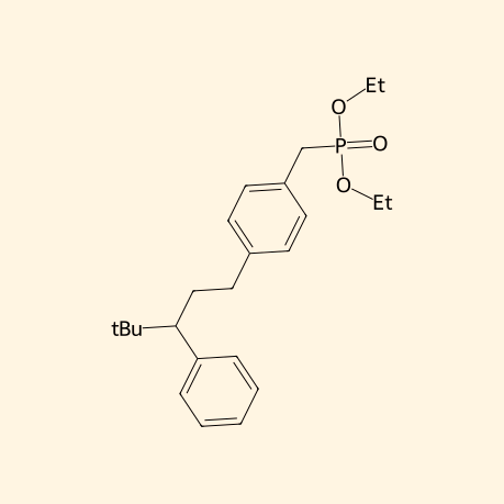 CCOP(=O)(Cc1ccc(CCC(c2ccccc2)C(C)(C)C)cc1)OCC